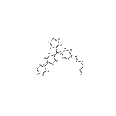 C=C/C=C\C=C\c1ccc(N(c2ccccc2)c2ccc(-c3ccccc3)cc2)cc1